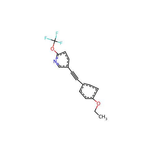 CCOc1ccc(C#Cc2ccc(OC(F)(F)F)nc2)cc1